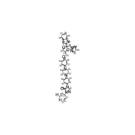 CCC(C)n1ncn(-c2ccc(N3CCN(c4ccc(OCC5COC(Cn6nccn6)(c6nc7ccccc7s6)O5)cc4)CC3)cc2)c1=O